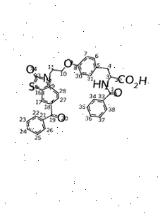 O=C(NC(Cc1ccc(OCCn2c(=O)sc3cc(C(=O)c4ccccc4)ccc32)cc1)C(=O)O)c1ccccc1